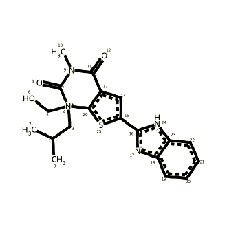 CC(C)C[N+]1(CO)C(=O)N(C)C(=O)c2cc(-c3nc4ccccc4[nH]3)sc21